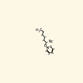 CCCCCCO[n+]1ccccc1.[Br-]